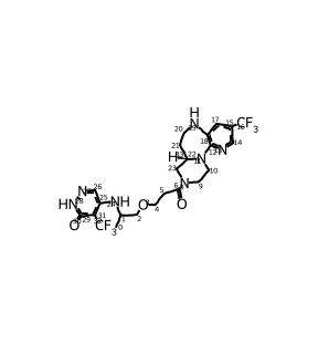 CC(COCCC(=O)N1CCN2c3ncc(C(F)(F)F)cc3NCC[C@H]2C1)Nc1cn[nH]c(=O)c1C(F)(F)F